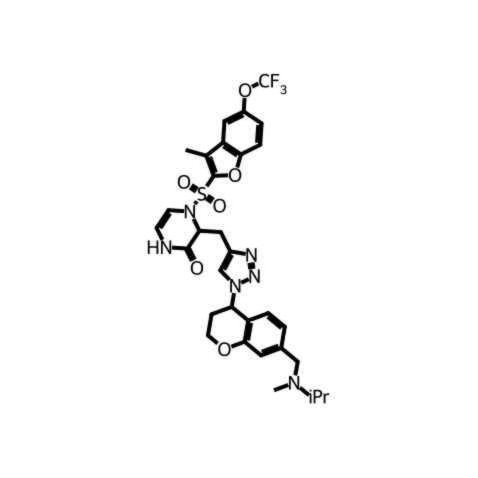 Cc1c(S(=O)(=O)N2C=CNC(=O)C2Cc2cn(C3CCOc4cc(CN(C)C(C)C)ccc43)nn2)oc2ccc(OC(F)(F)F)cc12